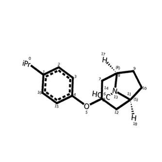 CC(C)c1ccc(OC2C[C@H]3CC[C@@H](C2)N3C(=O)O)cc1